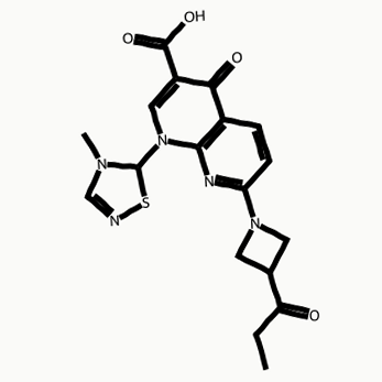 CCC(=O)C1CN(c2ccc3c(=O)c(C(=O)O)cn(C4SN=CN4C)c3n2)C1